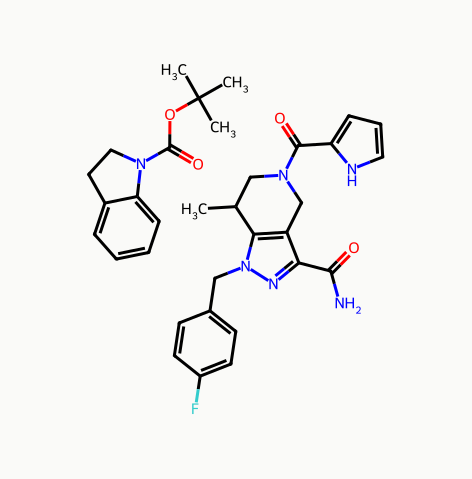 CC(C)(C)OC(=O)N1CCc2ccccc21.CC1CN(C(=O)c2ccc[nH]2)Cc2c(C(N)=O)nn(Cc3ccc(F)cc3)c21